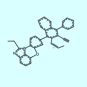 C#Cc1c(/C=C\C)c(-c2ccc3c(c2)Oc2cccc4nc(CC)n-3c24)c2ccccc2c1-c1ccccc1